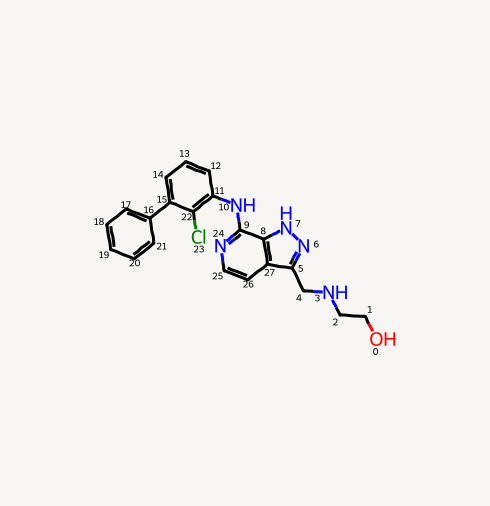 OCCNCc1n[nH]c2c(Nc3cccc(-c4ccccc4)c3Cl)nccc12